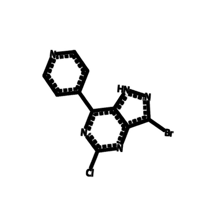 Clc1nc(-c2ccncc2)c2[nH]nc(Br)c2n1